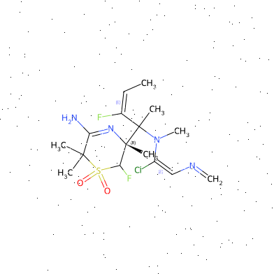 C=N/C=C(/Cl)N(C)C(C)(/C(F)=C\C)[C@@]1(C)N=C(N)C(C)(C)S(=O)(=O)C1F